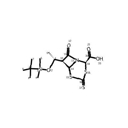 C[C@@H](O[Si](C)(C)C(C)(C)C)[C@H]1C(=O)N2C1SC(=S)S[C@@H]2C(=O)O